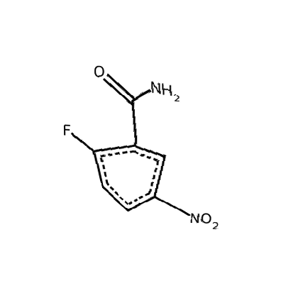 NC(=O)c1cc([N+](=O)[O-])ccc1F